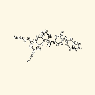 CC#CC(=O)Nc1cc2c(Nc3ccc(Oc4ccn5ncnc5c4)c(C)c3)ncnc2cc1OCCNC